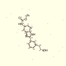 CC(C)OC(=O)Nc1cnc2[nH]c(-c3cccc(CCO)c3)nc2c1